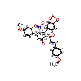 COC1=CCC([C@H]2CC(=O)C(C(=O)/C=C/c3ccc(OC)cc3)[C@H](c3ccc4c(c3)OCO4)[C@H]2[N+](=O)[O-])C=C1